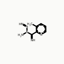 Cc1cccnc1C(=N)N(N)N=N